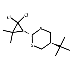 CC1(C)C([C@H]2SC[C@H](C(C)(C)C)CS2)C1(Cl)Cl